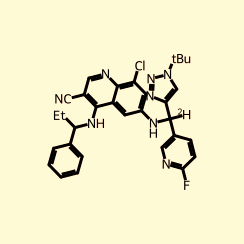 [2H]C(Nc1cc(Cl)c2ncc(C#N)c(NC(CC)c3ccccc3)c2c1)(c1ccc(F)nc1)c1cn(C(C)(C)C)nn1